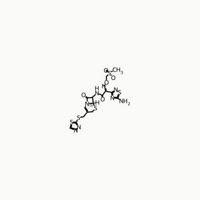 CS(=O)(=O)CON=C(C(=O)NC1C(=O)N2C=C(CSc3nncs3)CS[C@@H]12)c1nsc(N)n1